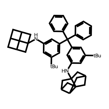 CC(C)(C)c1cc(NC23CC4CC5C(C2)CC53C4)cc(C(c2ccccc2)(c2ccccc2)c2cc(NC34CC5CC6CC(C3)C654)cc(C(C)(C)C)c2)c1